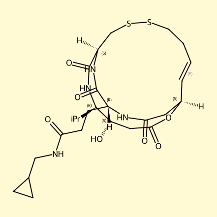 CC(C)[C@H]1NC(=O)[C@H]2CSSCC/C=C/[C@H](CC(=O)N[C@H](CCC(=O)NCC3CC3)C(=O)N2)OC(=O)C[C@@H]1O